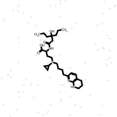 CCCC(O)(CCC)CC(=O)NC(CCN(CCCCc1ccc2c(n1)NCCC2)C1CC1)C(=O)O